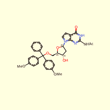 COc1ccc(C(OC[C@H]2O[C@@H](n3ccc4c(=O)[nH]c(NC(C)=O)nc43)C[C@@H]2O)(c2ccccc2)c2ccc(OC)cc2)cc1